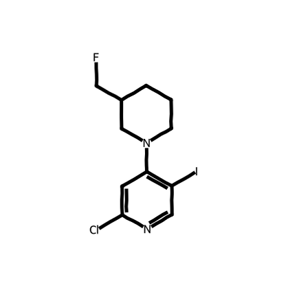 FCC1CCCN(c2cc(Cl)ncc2I)C1